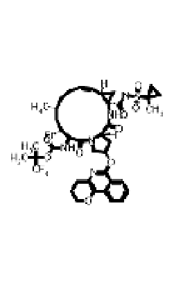 CC[C@@H]1C[C@H](C)CC/C=C\[C@@H]2C[C@@]2(C(=O)NS(=O)(=O)C2(C)CC2)NC(=O)[C@@H]2C[C@@H](Oc3nc4c(c5ccccc35)OCCC4)CN2C(=O)C1NC(=O)OC(C)(C)C(F)(F)F